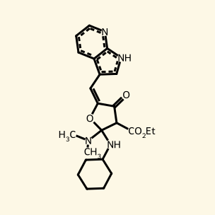 CCOC(=O)C1C(=O)C(=Cc2c[nH]c3ncccc23)OC1(NC1CCCCC1)N(C)C